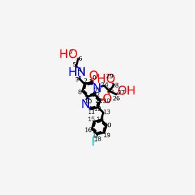 O=c1c(CNCCO)cc2ncc(Cc3ccc(F)cc3)c3c2n1CC(CO)(CO)O3